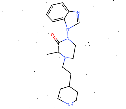 CC1C(=O)N(n2cnc3ccccc32)CCN1CCC1CCNCC1